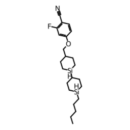 CCCCC[SiH]1CCC([SiH]2CCC(COc3ccc(C#N)c(F)c3)CC2)CC1